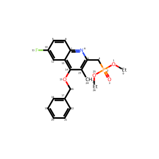 CCOP(=O)(Cc1nc2ccc(F)cc2c(OCc2ccccc2)c1C)OCC